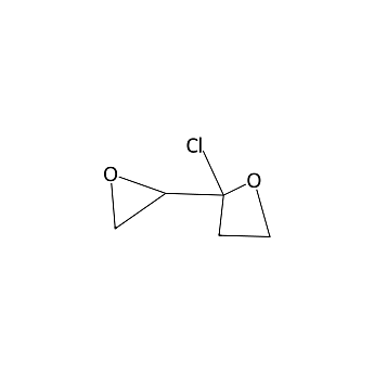 ClC1(C2CO2)CCO1